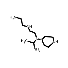 CC(N)N(CCNCCN)N1CCNCC1